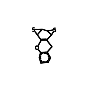 c1ccc2c(c1)CC1=C(O2)C2SC2C2SC12